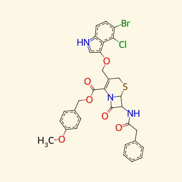 COc1ccc(COC(=O)C2=C(COc3c[nH]c4ccc(Br)c(Cl)c34)CSC3C(NC(=O)Cc4ccccc4)C(=O)N23)cc1